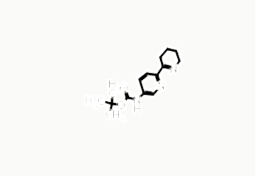 CC(C)(C)OC(=O)Nc1ccc(C2=NCCCC2)nc1